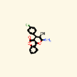 N#CC1=C(N)Oc2c(c(=O)oc3ccccc23)C1c1ccc(Cl)cc1